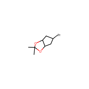 CC(C)C1CC2OC(C)(C)OC2C1